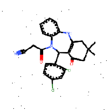 CC1(C)CC(=O)C2=C(C1)Nc1ccccc1N(C(=O)CC#N)C2c1ccc(Cl)cc1Cl